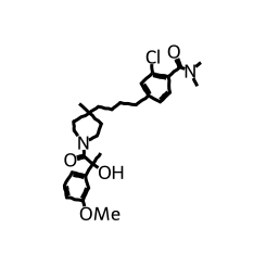 COc1cccc(C(C)(O)C(=O)N2CCC(C)(CCCCc3ccc(C(=O)N(C)C)c(Cl)c3)CC2)c1